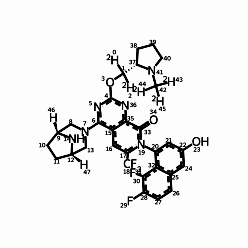 [2H]C([2H])(Oc1nc(N2C[C@H]3CC[C@@H](C2)N3)c2cc(C(F)(F)F)n(-c3cc(O)cc4ccc(F)c(F)c34)c(=O)c2n1)[C@@H]1CCCN1C([2H])([2H])[2H]